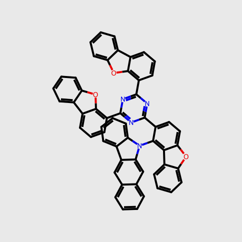 c1ccc2cc3c(cc2c1)c1ccccc1n3-c1c(-c2nc(-c3cccc4c3oc3ccccc34)nc(-c3cccc4c3oc3ccccc34)n2)ccc2oc3ccccc3c12